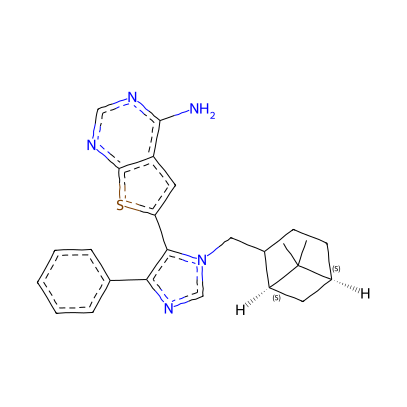 CC1(C)[C@H]2CCC(Cn3cnc(-c4ccccc4)c3-c3cc4c(N)ncnc4s3)[C@@H]1C2